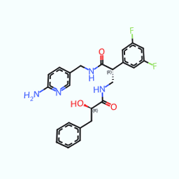 Nc1ccc(CNC(=O)[C@@H](CNC(=O)[C@H](O)Cc2ccccc2)c2cc(F)cc(F)c2)cn1